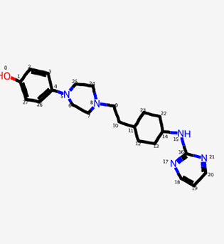 Oc1ccc(N2CCN(CCC3CCC(Nc4ncccn4)CC3)CC2)cc1